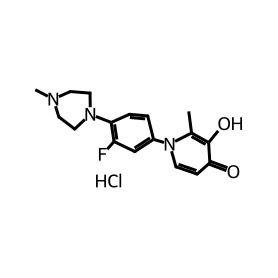 Cc1c(O)c(=O)ccn1-c1ccc(N2CCN(C)CC2)c(F)c1.Cl